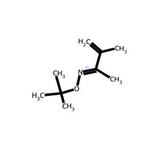 C=C(C)/C(C)=N/OC(C)(C)C